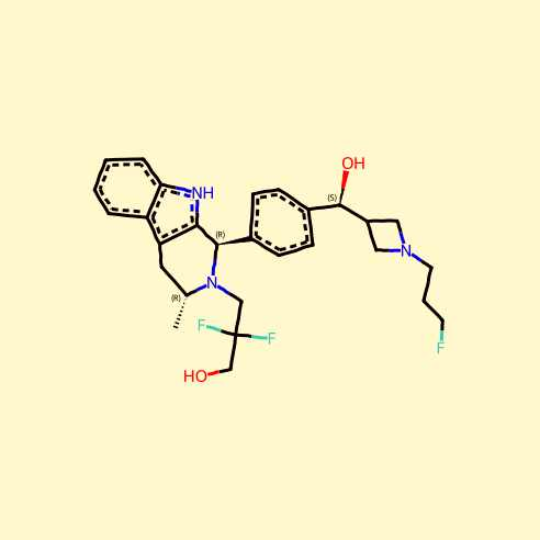 C[C@@H]1Cc2c([nH]c3ccccc23)[C@@H](c2ccc([C@@H](O)C3CN(CCCF)C3)cc2)N1CC(F)(F)CO